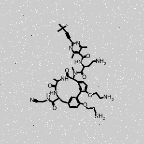 Cc1nc(C#CC(C)(C)C)nc(C)c1C(=O)NC(CCN)C(=O)N(C)C1C(=O)NC(C)C(=O)NC(C(=O)NCC#N)Cc2ccc(OCCN)c(c2)-c2cc1ccc2OCCN